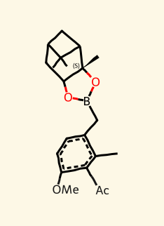 COc1ccc(CB2OC3CC4CC(C4(C)C)[C@]3(C)O2)c(C)c1C(C)=O